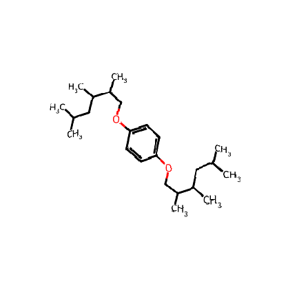 CC(C)CC(C)C(C)COc1ccc(OCC(C)C(C)CC(C)C)cc1